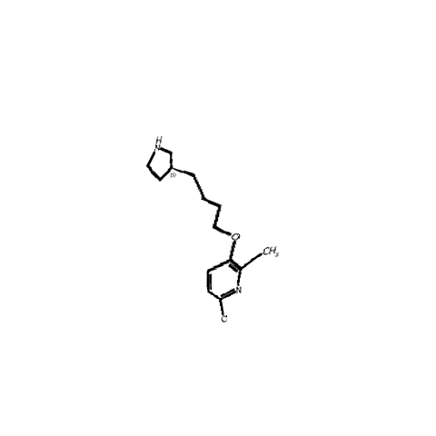 Cc1nc(Cl)ccc1OCCCC[C@H]1CCNC1